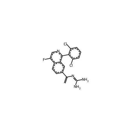 C=C(N=C(N)N)c1ccc2c(F)cnc(-c3c(Cl)cccc3Cl)c2c1